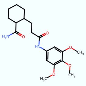 COc1cc(NC(=O)CCC2CCCCC2C(N)=O)cc(OC)c1OC